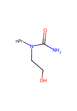 CCCN(CCO)C(N)=O